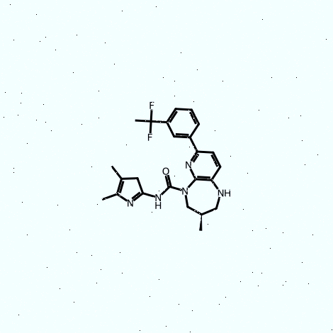 CC1=C(C)N=C(NC(=O)N2C[C@H](C)CNc3ccc(-c4cccc(C(C)(F)F)c4)nc32)C1